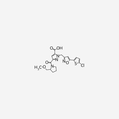 COCC1CCCN1C(=O)c1cc(C(=O)O)n(Cc2cc(-c3ccc(Cl)s3)on2)n1